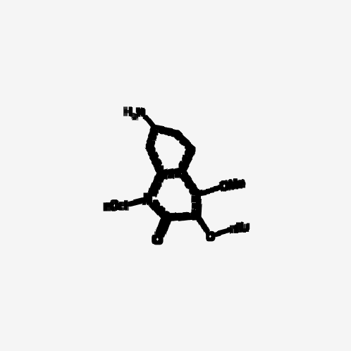 CCCCCCCCn1c(=O)c(OCCCC)c(OC)c2ccc(N)cc21